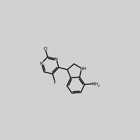 Nc1cccc2c1NCC2c1nc(Cl)ncc1F